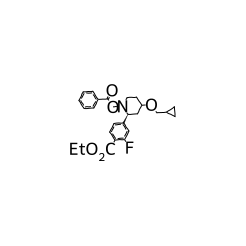 CCOC(=O)c1ccc([C@@H]2CC(OCC3CC3)CCN2OC(=O)c2ccccc2)cc1F